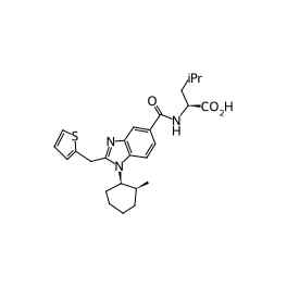 CC(C)C[C@H](NC(=O)c1ccc2c(c1)nc(Cc1cccs1)n2[C@@H]1CCCC[C@@H]1C)C(=O)O